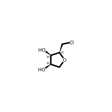 O[C@@H]1[C@H](O)CO[C@@H]1CCl